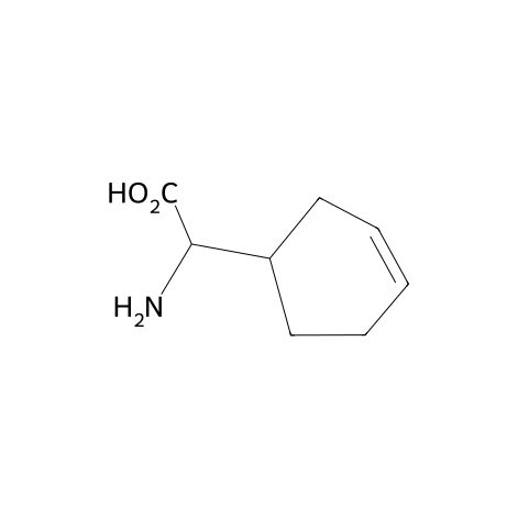 NC(C(=O)O)C1CC=CCC1